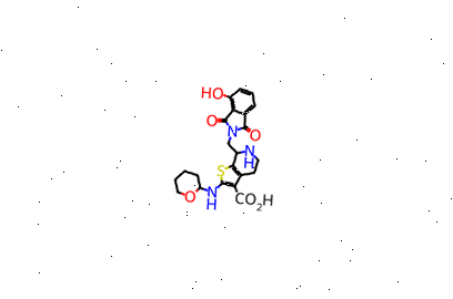 O=C(O)c1c(NC2CCCCO2)sc2c1CCNC2CN1C(=O)c2cccc(O)c2C1=O